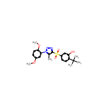 COc1ccc(OC)c(-n2nnc(S(=O)(=O)c3ccc(C(C)(C)C)c(O)c3)c2C)c1